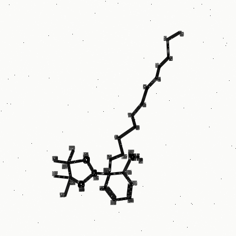 CCCCCCCCCCCCC1(B2OC(C)(C)C(C)(C)O2)C=CC=CC1N